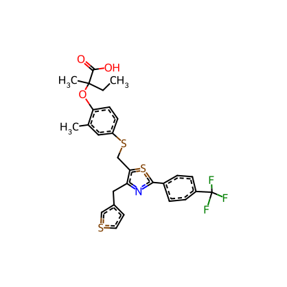 CCC(C)(Oc1ccc(SCc2sc(-c3ccc(C(F)(F)F)cc3)nc2Cc2ccsc2)cc1C)C(=O)O